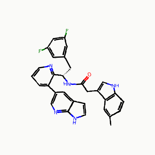 Cc1ccc2[nH]cc(CC(=O)N[C@@H](Cc3cc(F)cc(F)c3)c3ncccc3-c3cnc4[nH]ccc4c3)c2c1